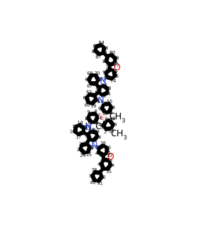 Cc1cc(C)c(B(c2cccc(-n3c4ccccc4c4c5c6ccccc6n(-c6ccc7oc8ccc(-c9ccccc9)cc8c7c6)c5ccc43)c2)c2cccc(-n3c4ccccc4c4c5c6ccccc6n(-c6ccc7oc8ccc(-c9ccccc9)cc8c7c6)c5ccc43)c2)c(C)c1